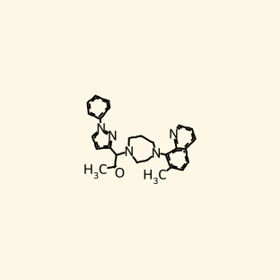 CC(=O)C(c1ccn(-c2ccccc2)n1)N1CCCN(c2c(C)ccc3cccnc23)CC1